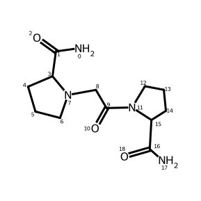 NC(=O)C1CCCN1CC(=O)N1CCCC1C(N)=O